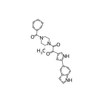 C[C@@H]1CN(C(=O)c2ccccc2)CCN1C(=O)C(=O)c1c[nH]c(-c2ccc3[nH]ccc3c2)c1